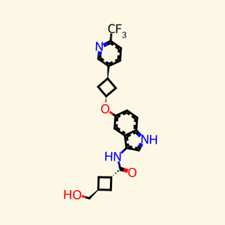 O=C(Nc1c[nH]c2ccc(O[C@H]3C[C@H](c4ccc(C(F)(F)F)nc4)C3)cc12)[C@H]1C[C@H](CO)C1